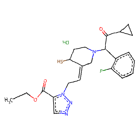 CCOC(=O)c1cnnn1CC=C1CN(C(C(=O)C2CC2)c2ccccc2F)CCC1S.Cl